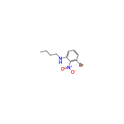 CCCCNc1cccc(Br)c1[N+](=O)[O-]